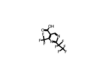 O=C(O)c1cnc(C(F)(F)C(F)(F)F)nc1C(F)(F)F